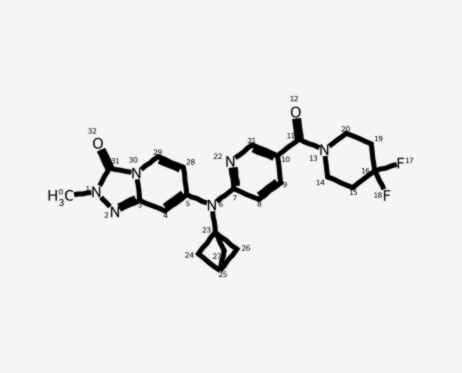 Cn1nc2cc(N(c3ccc(C(=O)N4CCC(F)(F)CC4)cn3)C34CC(C3)C4)ccn2c1=O